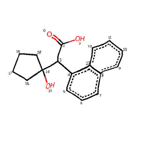 O=C(O)C(c1cccc2ccccc12)C1(O)CCCC1